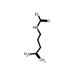 C=C(N)CCCNC(=O)CC